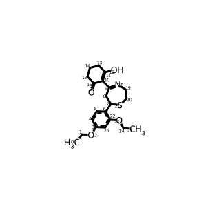 CCOc1ccc(C2CC(C3=C(O)CCCC3=O)=NCCS2)c(OCC)c1